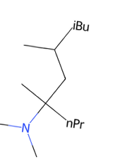 CCCC(C)(CC(C)C(C)CC)N(C)C